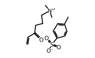 C=CC(=O)CCC[N+](C)(C)C.Cc1ccc(S(=O)(=O)[O-])cc1